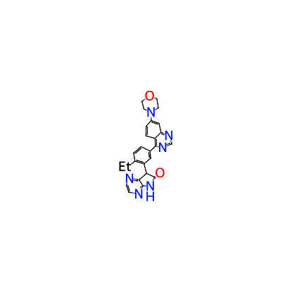 CCc1ccc(-c2ncnc3cc(N4CCOCC4)ccc23)cc1C1C(=O)Nc2nccnc21